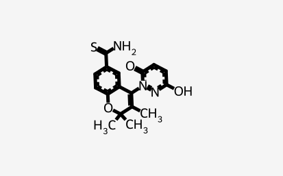 CC1=C(n2nc(O)ccc2=O)c2cc(C(N)=S)ccc2OC1(C)C